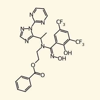 CC(c1ncnn1-c1ncccn1)N(CCOC(=O)c1ccccc1)C(=NO)c1cc(C(F)(F)F)cc(C(F)(F)F)c1O